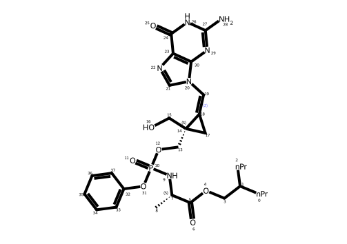 CCCC(CCC)COC(=O)[C@H](C)NP(=O)(OC[C@@]1(CO)C/C1=C/n1cnc2c(=O)[nH]c(N)nc21)Oc1ccccc1